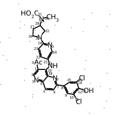 CC(=O)c1cnc2ccc(-c3cc(Cl)c(O)c(Cl)c3)nc2c1Nc1ccc(N2CCC(N(C)C(=O)O)C2)nc1